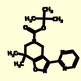 CC(C)(C)OC(=O)N1Cc2c(-c3ncccn3)noc2C(C)(C)C1